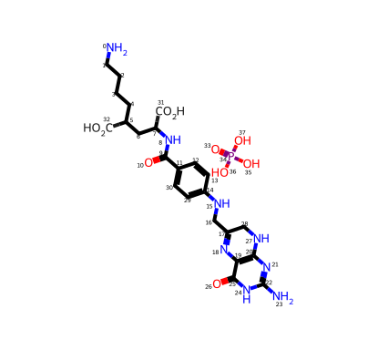 NCCCCC(CC(NC(=O)c1ccc(NCC2=Nc3c(nc(N)[nH]c3=O)NC2)cc1)C(=O)O)C(=O)O.O=P(O)(O)O